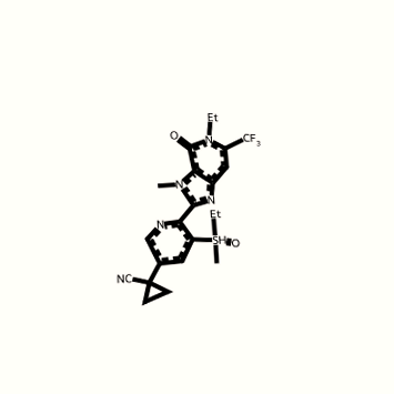 CCn1c(C(F)(F)F)cc2nc(-c3ncc(C4(C#N)CC4)cc3[SH](C)(=O)CC)n(C)c2c1=O